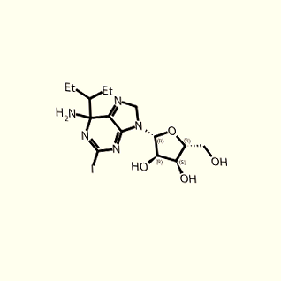 CCC(CC)C1(N)N=C(I)N=C2C1=NCN2[C@@H]1O[C@H](CO)[C@@H](O)[C@H]1O